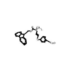 CN(CCOc1ccc(C=O)cc1)C(=O)OCC1c2ccccc2-c2ccccc21